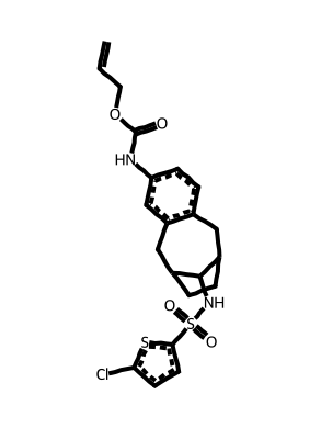 C=CCOC(=O)Nc1ccc2c(c1)CC1CCC(C2)C1NS(=O)(=O)c1ccc(Cl)s1